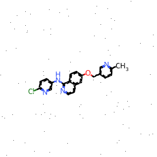 Cc1ccc(COc2ccc3c(Nc4ccc(Cl)nc4)nccc3c2)cn1